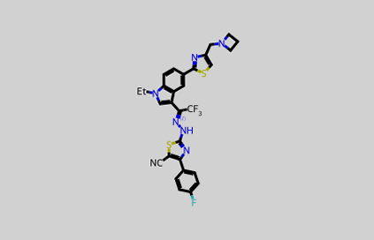 CCn1cc(/C(=N/Nc2nc(-c3ccc(F)cc3)c(C#N)s2)C(F)(F)F)c2cc(-c3nc(CN4CCC4)cs3)ccc21